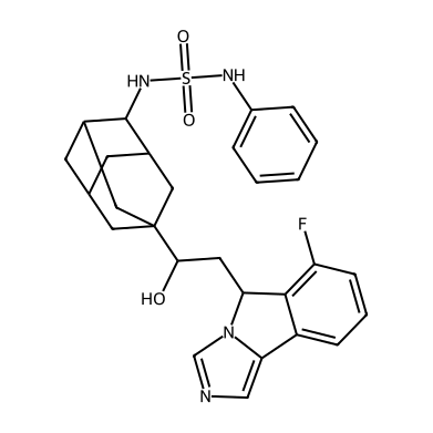 O=S(=O)(Nc1ccccc1)NC1C2CC3CC1CC(C(O)CC1c4c(F)cccc4-c4cncn41)(C3)C2